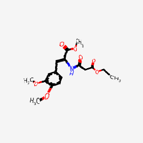 CCOC(=O)CC(=O)NC(Cc1ccc(OC)c(OC)c1)C(=O)OC